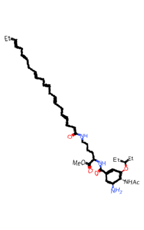 CCC=CCC=CCC=CCC=CCC=CCC=CCCC(=O)NCCCCC(NC(=O)C1=C[C@@H](OC(CC)CC)[C@H](NC(C)=O)[C@@H](N)C1)C(=O)OC